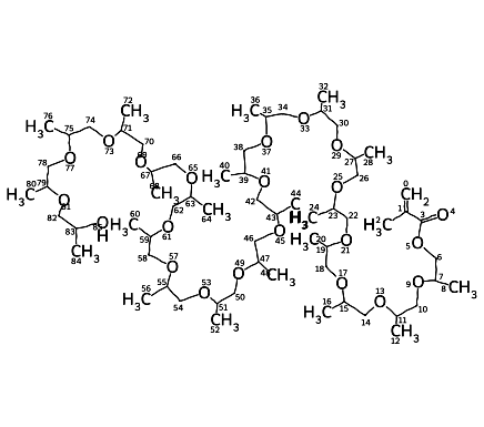 C=C(C)C(=O)OCC(C)OCC(C)OCC(C)OCC(C)OCC(C)OCC(C)OCC(C)OCC(C)OCC(C)OCC(C)OCC(C)OCC(C)OCC(C)OCC(C)OCC(C)OCC(C)OCC(C)OCC(C)OCC(C)OCC(C)O